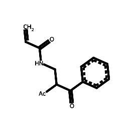 C=CC(=O)NCC(C(C)=O)C(=O)c1ccccc1